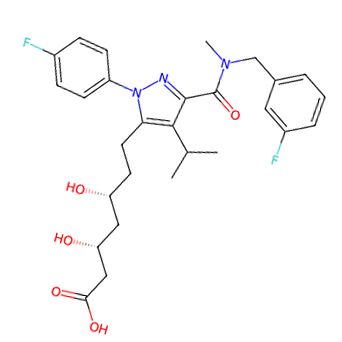 CC(C)c1c(C(=O)N(C)Cc2cccc(F)c2)nn(-c2ccc(F)cc2)c1CC[C@@H](O)C[C@@H](O)CC(=O)O